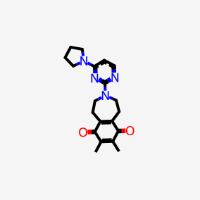 CC1=C(C)C(=O)C2=C(CCN(c3nccc(N4CCCC4)n3)CC2)C1=O